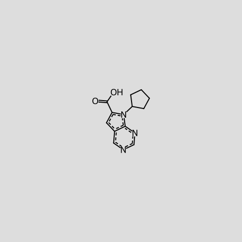 O=C(O)c1cc2cncnc2n1C1CCCC1